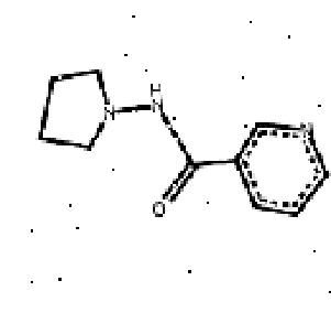 O=C(NN1CCCC1)c1cccnc1